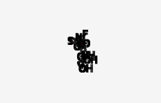 O=C(N[C@H]1CC[C@@H](n2c(=O)c3cc(F)cnc3n(C3CCSCC3)c2=O)CC1)C(O)c1cccc(O)c1